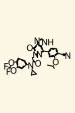 CC(C)Oc1cc(-c2nn(CC(=O)N(c3ccc4c(c3)OC(F)(F)O4)C3CC3)c(=O)c3nc[nH]c23)ccc1C#N